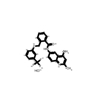 Cc1cc(N)c2cc(NC(=O)c3ccccc3COc3cccc(C(F)(F)F)c3)ccc2n1.Cl